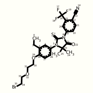 CCc1cc(N2C(=S)N(c3ccc(C#N)c(C(F)(F)F)c3)C(=O)C2(C)C)ccc1OCCOCCBr